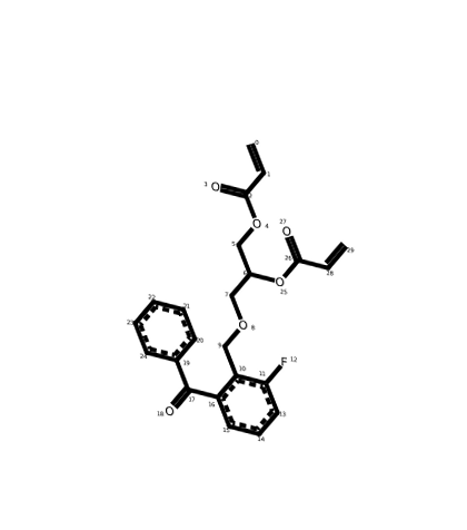 C=CC(=O)OCC(COCc1c(F)cccc1C(=O)c1ccccc1)OC(=O)C=C